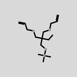 C=CCOCC(CC)(COCC=C)CO[Si](C)(C)C